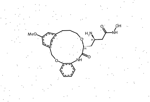 COc1cc2cc(c1)COc1ccccc1NC(=O)[C@@H](C[C@@H](N)CC(=O)NO)OCCC2